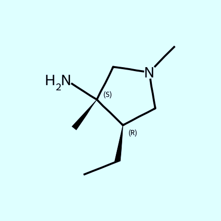 CC[C@@H]1CN(C)C[C@@]1(C)N